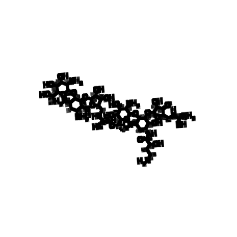 C[C@H](ONC(=N)NC[C@H]1O[C@@H](OC2C(O)[C@H](N)CC(N)[C@H]2O[C@H]2OC([C@@H](C)O)[C@@H](O)C(O)C2N)C(O)C1O)C1O[C@H](O[C@@H]2C(N)C[C@@H](NC(=O)C(O)CCN)C(O)C2O[C@@H]2O[C@H](CNC(=N)N)C(=O)C2O)C(N)C(O)[C@@H]1O